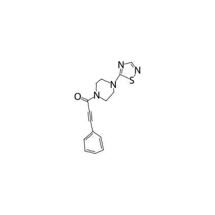 O=C(C#Cc1ccccc1)N1CCN(c2ncns2)CC1